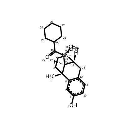 CN1CC[C@@]2(C)c3cc(O)ccc3C[C@@H]1[C@@H]2N(C)C(=O)C1CCCCC1